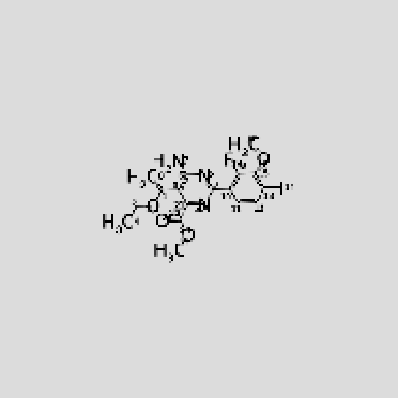 C=C(OCC)c1c(N)nc(-c2ccc(I)c(OC)c2F)nc1C(=O)OC